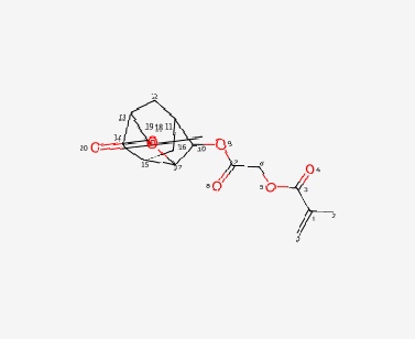 C=C(C)C(=O)OCC(=O)OC1C2CC3CC(C2)C1OC3=O